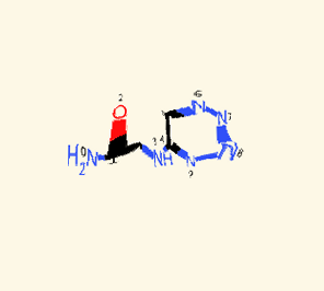 NC(=O)Nc1cnnnn1